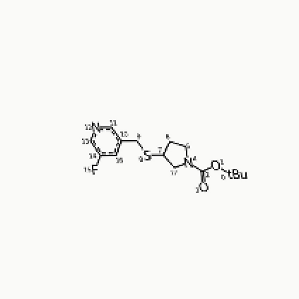 CC(C)(C)OC(=O)N1CCC(SCc2cncc(F)c2)C1